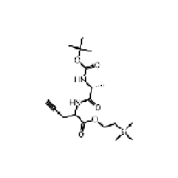 C#CCC(NC(=O)[C@@H](C)NC(=O)OC(C)(C)C)C(=O)OCC[Si](C)(C)C